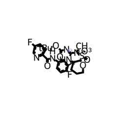 CN1/C(=N/C(=O)OC(C)(C)C)N[C@@]2(c3cc(NC(=O)c4ccc(F)cn4)ccc3F)CCCOC2S1(=O)=O